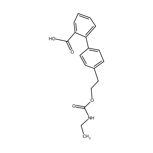 CCNC(=O)OCCc1ccc(-c2ccccc2C(=O)O)cc1